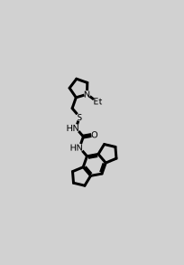 CCN1CCCC1CSNC(=O)Nc1c2c(cc3c1CCC3)CCC2